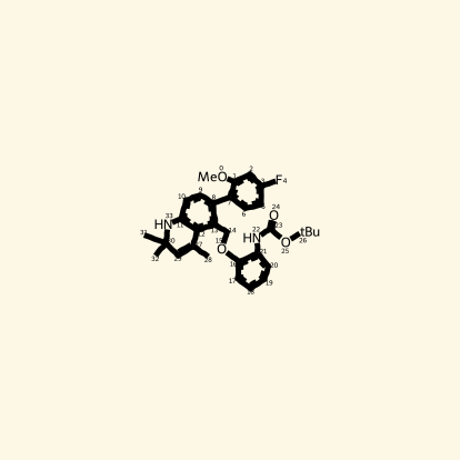 COc1cc(F)ccc1-c1ccc2c(c1COc1ccccc1NC(=O)OC(C)(C)C)C(C)=CC(C)(C)N2